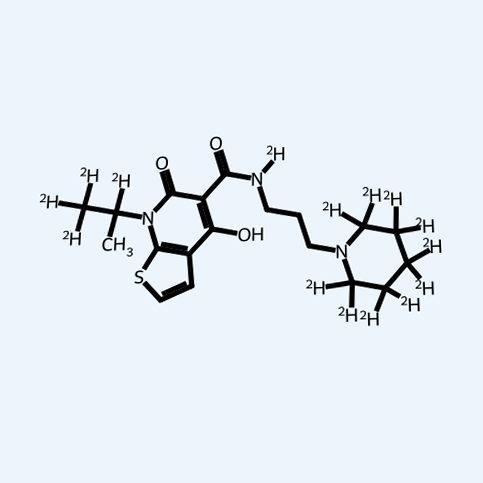 [2H]N(CCCN1C([2H])([2H])C([2H])([2H])C([2H])([2H])C([2H])([2H])C1([2H])[2H])C(=O)c1c(O)c2ccsc2n(C([2H])(C)C([2H])([2H])[2H])c1=O